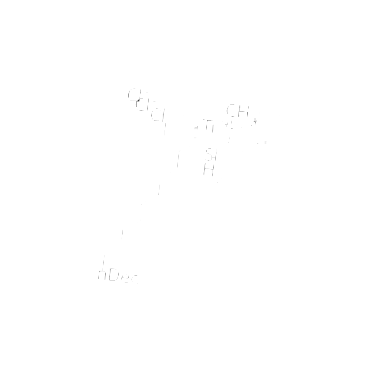 CCCCCCCCCCCCCCCCCCc1ccccc1[SiH2]C1=Cc2ccccc2[C]1(C)[Ti+3].[Cl-].[Cl-].[Cl-]